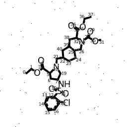 CCOC(=O)C1CC(NS(=O)(=O)c2ccccc2Cl)CN1CC1CCC2CN(C(=O)OC)C(C(=O)OCC)CC2C1